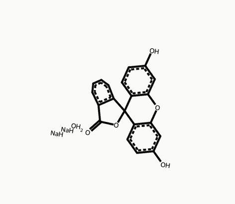 O.O=C1OC2(c3ccc(O)cc3Oc3cc(O)ccc32)c2ccccc21.[NaH].[NaH]